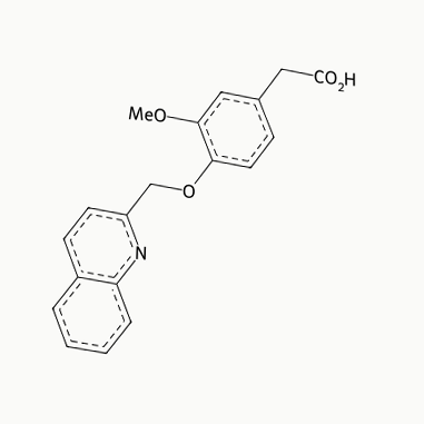 COc1cc(CC(=O)O)ccc1OCc1ccc2ccccc2n1